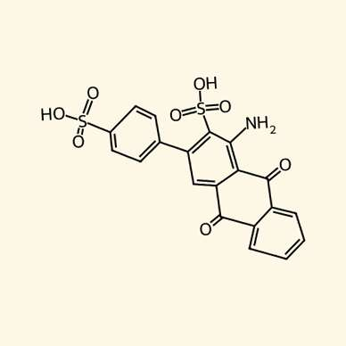 Nc1c2c(cc(-c3ccc(S(=O)(=O)O)cc3)c1S(=O)(=O)O)C(=O)c1ccccc1C2=O